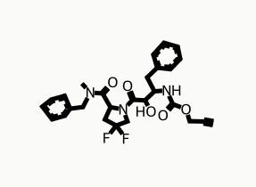 C#CCOC(=O)NC(Cc1ccccc1)C(O)C(=O)N1CC(F)(F)CC1C(=O)N(C)Cc1ccccc1